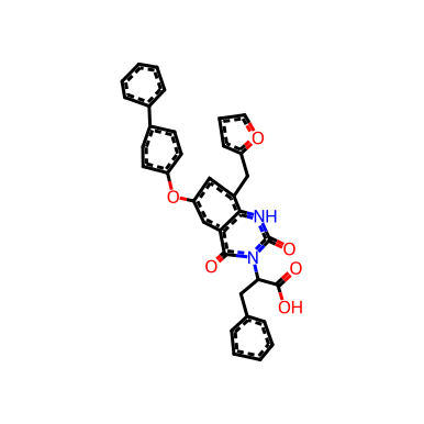 O=C(O)C(Cc1ccccc1)n1c(=O)[nH]c2c(Cc3ccco3)cc(Oc3ccc(-c4ccccc4)cc3)cc2c1=O